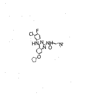 CN(C)CC=CC(=O)Nc1nc(Nc2ccc(F)c(Cl)c2)c2ccc(OC3CCCC3)cc2n1